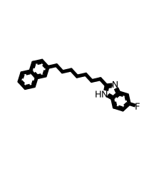 Fc1ccc2[nH]c(CCCCCCCc3ccc4ccccc4c3)nc2c1